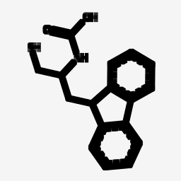 O=C(O)NC(CS)CC1c2ccccc2-c2ccccc21